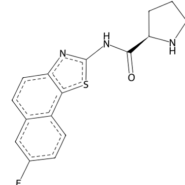 O=C(Nc1nc2ccc3cc(F)ccc3c2s1)[C@H]1CCCN1